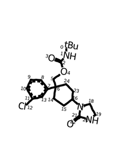 CC(C)(C)NC(=O)OCC1(c2cccc(Cl)c2)CCC(N2CCNC2=O)CC1